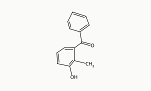 Cc1c(O)cccc1C(=O)c1ccccc1